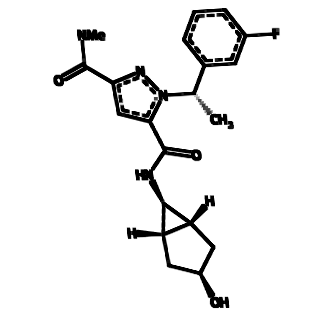 CNC(=O)c1cc(C(=O)N[C@H]2[C@@H]3C[C@@H](O)C[C@@H]32)n([C@@H](C)c2cccc(F)c2)n1